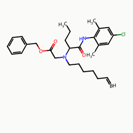 B=CCCCCCN(CC(=O)OCc1ccccc1)C(CCC)C(=O)Nc1c(C)cc(Cl)cc1C